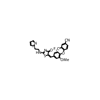 COc1cc(/C=C2/SC(NCCn3cccn3)=NC2=O)ccc1Oc1ccc(C#N)cc1C(F)(F)F